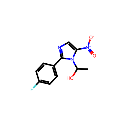 CC(O)n1c([N+](=O)[O-])cnc1-c1ccc(F)cc1